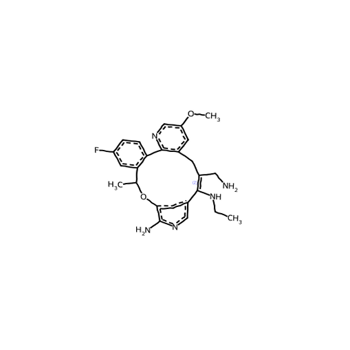 CCN/C1=C(\CN)Cc2cc(OC)cnc2-c2ccc(F)cc2C(C)Oc2cc1cnc2N